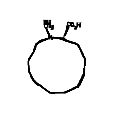 O=C(O)[C@@H]1CCCCCCCCCCN1P